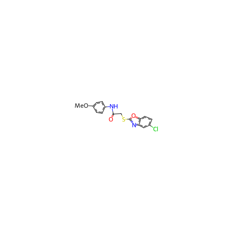 COc1ccc(NC(=O)CSc2nc3cc(Cl)ccc3o2)cc1